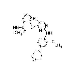 CNC(=O)c1ccccc1Oc1nc(Nc2ccc(N3CCOCC3)cc2OC)ncc1Br